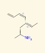 C=C/C=C\C(=C/C)CC(C)N